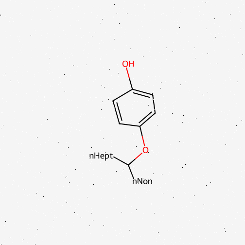 CCCCCCCCCC(CCCCCCC)Oc1ccc(O)cc1